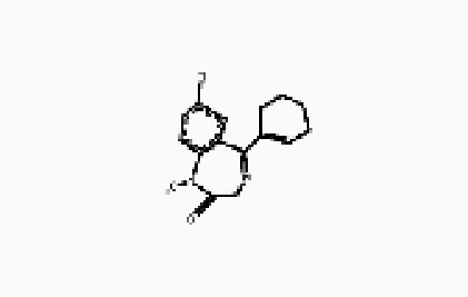 CN1C(=O)CN=C(C2=CCCCC2)c2cc(Cl)ccc21